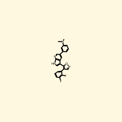 CN(C)c1cccc(-c2cnc3[nH]cc(-c4oncc4-c4cccc(F)c4F)c3c2)c1